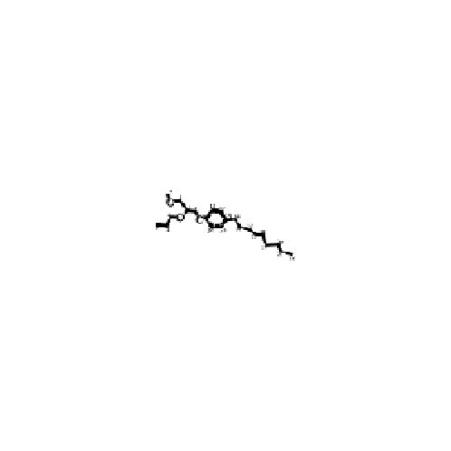 C=CCOC(COC)COc1ccc(CCCCCCCCC)cc1